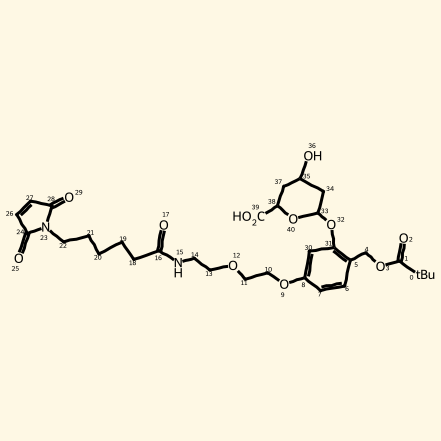 CC(C)(C)C(=O)OCc1ccc(OCCOCCNC(=O)CCCCCN2C(=O)C=CC2=O)cc1OC1CC(O)CC(C(=O)O)O1